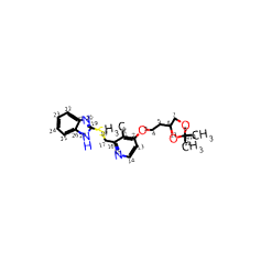 Cc1c(OCCC2COC(C)(C)O2)ccnc1CSc1nc2ccccc2[nH]1